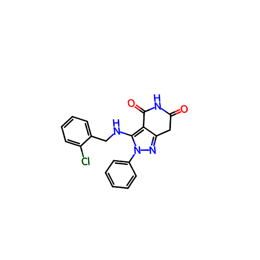 O=C1Cc2nn(-c3ccccc3)c(NCc3ccccc3Cl)c2C(=O)N1